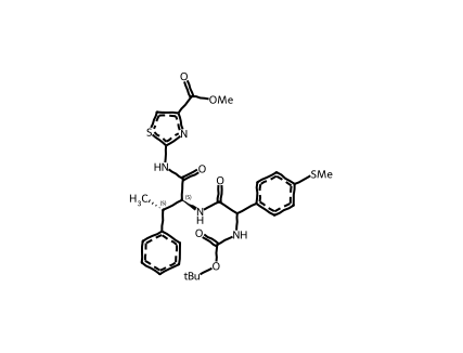 COC(=O)c1csc(NC(=O)[C@@H](NC(=O)C(NC(=O)OC(C)(C)C)c2ccc(SC)cc2)[C@@H](C)c2ccccc2)n1